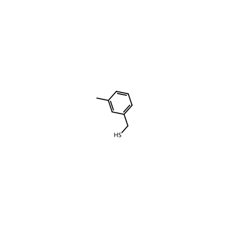 Cc1cccc(CS)c1